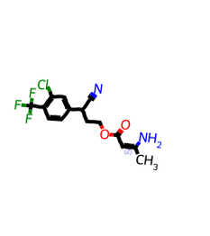 C/C(N)=C/C(=O)OCCC(C#N)c1ccc(C(F)(F)F)c(Cl)c1